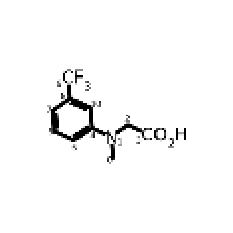 CN(CC(=O)O)c1cccc(C(F)(F)F)c1